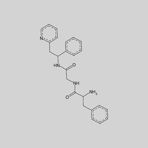 NC(Cc1ccccc1)C(=O)NCC(=O)NC(Cc1ccccn1)c1ccccc1